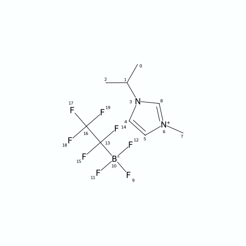 CC(C)n1cc[n+](C)c1.F[B-](F)(F)C(F)(F)C(F)(F)F